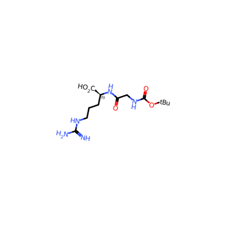 CC(C)(C)OC(=O)NCC(=O)N[C@@H](CCCNC(=N)N)C(=O)O